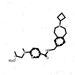 CO[C@H](C)CN(C)c1ccc(C(=O)NCc2ccc3c(c2)CCN(C2CCC2)CC3)cn1